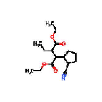 CCOC(=O)C(CC)C(C(=O)OCC)C1CCCC1C#N